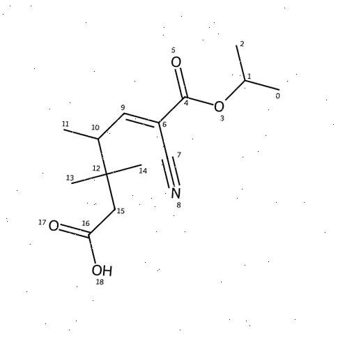 CC(C)OC(=O)/C(C#N)=C/C(C)C(C)(C)CC(=O)O